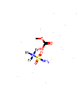 CC[N+](CC)(CC)S(N)(=O)=O.COC(=O)O